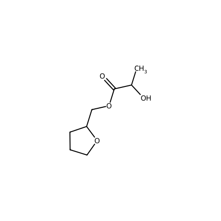 CC(O)C(=O)OCC1CCCO1